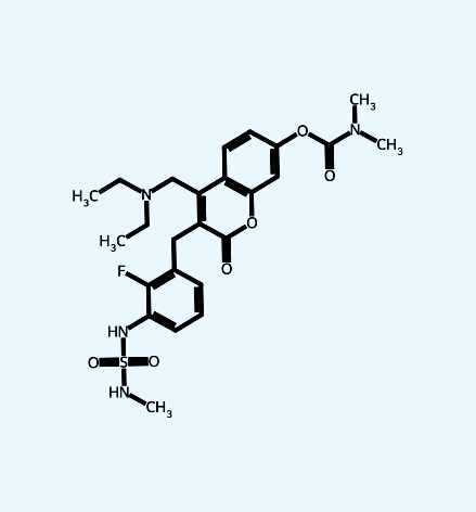 CCN(CC)Cc1c(Cc2cccc(NS(=O)(=O)NC)c2F)c(=O)oc2cc(OC(=O)N(C)C)ccc12